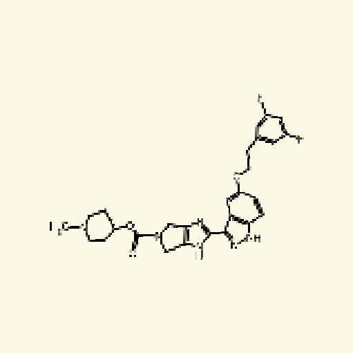 CN1CCC(OC(=O)N2Cc3nc(-c4n[nH]c5ccc(OCCc6cc(F)cc(F)c6)cc45)[nH]c3C2)CC1